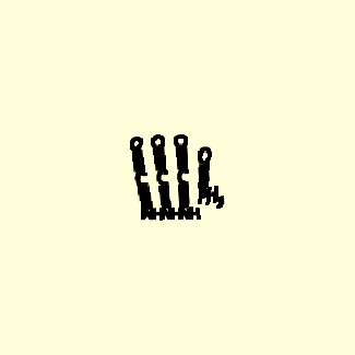 N=C=O.N=C=O.N=C=O.O=[PH3]